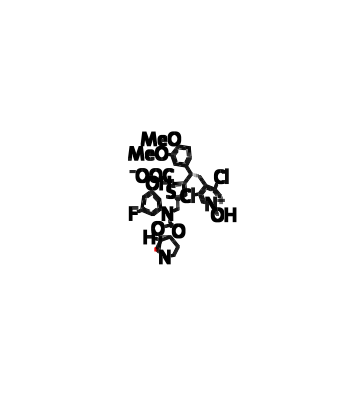 COc1ccc([C@H](Cc2c(Cl)c[n+](O)cc2Cl)c2cc(CN(C(=O)O[C@H]3CN4CCC3CC4)c3cc(O)cc(F)c3)sc2C(=O)[O-])cc1OC